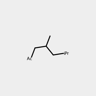 CC(=O)CC(C)CC(C)C